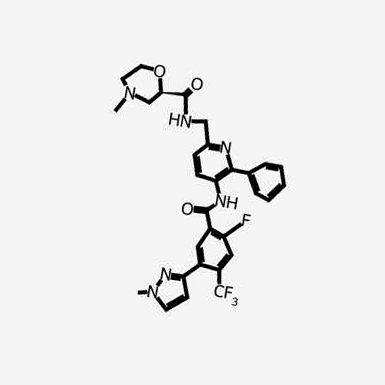 CN1CCO[C@@H](C(=O)NCc2ccc(NC(=O)c3cc(-c4ccn(C)n4)c(C(F)(F)F)cc3F)c(-c3ccccc3)n2)C1